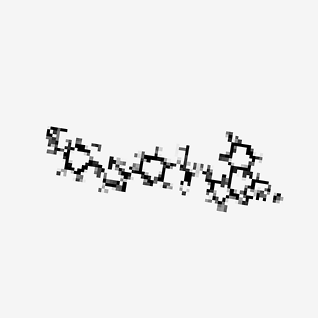 COC(C)c1ccc(C)cc1N1C(=O)CS/C1=N\C(=O)Nc1ccc(-c2ncn(-c3ccc(SC(F)(F)F)cc3)n2)cc1